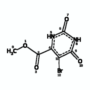 COC(=O)c1[nH]c(=O)[nH]c(=O)c1Br